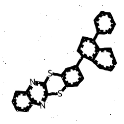 c1ccc(-c2ccc(-c3ccc4c(c3)Sc3nc5ccccc5nc3S4)c3ccccc23)cc1